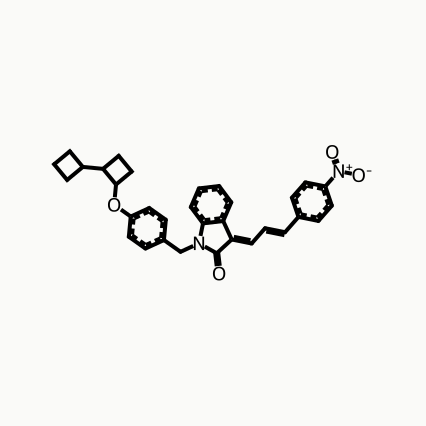 O=C1/C(=C/C=C/c2ccc([N+](=O)[O-])cc2)c2ccccc2N1Cc1ccc(OC2CCC2C2CCC2)cc1